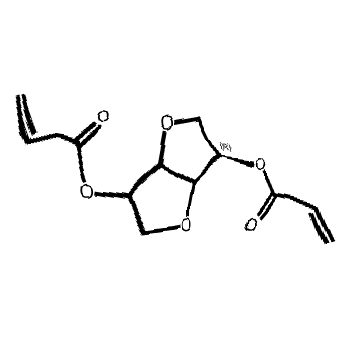 C=CC(=O)OC1COC2C1OC[C@H]2OC(=O)C=C